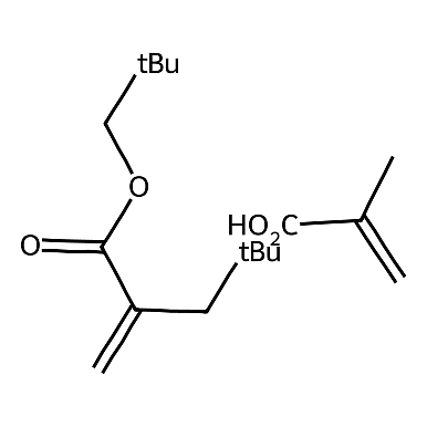 C=C(C)C(=O)O.C=C(CC(C)(C)C)C(=O)OCC(C)(C)C